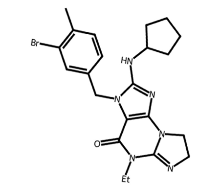 CCN1C(=O)c2c(nc(NC3CCCC3)n2Cc2ccc(C)c(Br)c2)N2CCN=C12